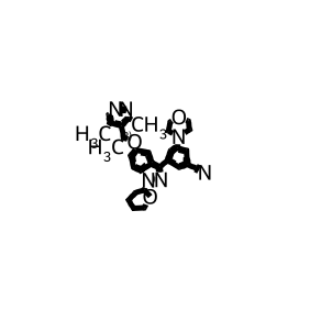 Cc1cnnc(C)c1[C@@H](C)Oc1ccc2c(c1)c(-c1cc(C#N)cc(N3CCOCC3)c1)nn2C1CCCCO1